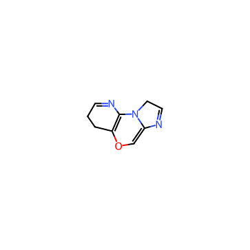 C1=NC2=COC3=C(N=CCC3)N2C1